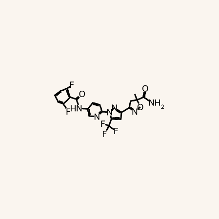 CC1(C(N)=O)CC(c2cc(C(F)(F)F)n(-c3ccc(NC(=O)c4c(F)cccc4F)cn3)n2)=NO1